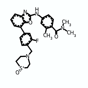 Cc1cc(Nc2nc3cccc(-c4ccc(CN5CC[S+]([O-])CC5)c(F)c4)c3o2)ccc1C(=O)N(C)C